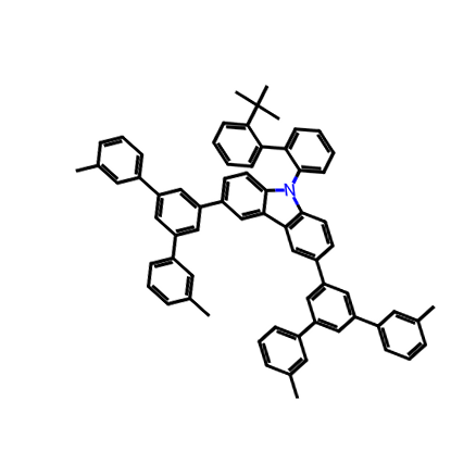 Cc1cccc(-c2cc(-c3cccc(C)c3)cc(-c3ccc4c(c3)c3cc(-c5cc(-c6cccc(C)c6)cc(-c6cccc(C)c6)c5)ccc3n4-c3ccccc3-c3ccccc3C(C)(C)C)c2)c1